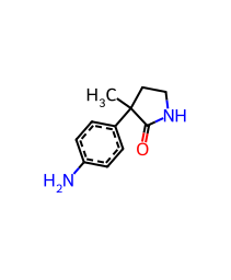 CC1(c2ccc(N)cc2)CCNC1=O